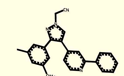 COc1cc(C)cc(-c2nn(CC#N)cc2-c2ccnc(-c3ccccc3)c2)c1